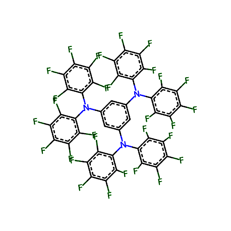 Fc1c(F)c(F)c(N(c2cc(N(c3c(F)c(F)c(F)c(F)c3F)c3c(F)c(F)c(F)c(F)c3F)cc(N(c3c(F)c(F)c(F)c(F)c3F)c3c(F)c(F)c(F)c(F)c3F)c2)c2c(F)c(F)c(F)c(F)c2F)c(F)c1F